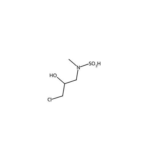 CN(CC(O)CCl)S(=O)(=O)O